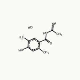 Cc1cc(O)c(C(F)(F)F)cc1C(=O)NC(=N)N.Cl